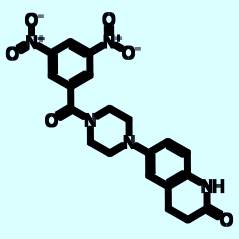 O=C1CCc2cc(N3CCN(C(=O)c4cc([N+](=O)[O-])cc([N+](=O)[O-])c4)CC3)ccc2N1